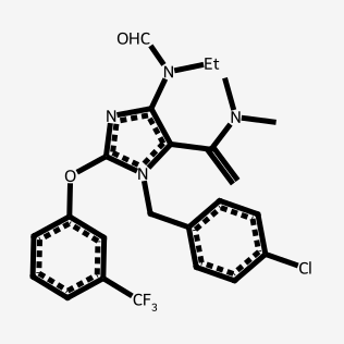 C=C(c1c(N(C=O)CC)nc(Oc2cccc(C(F)(F)F)c2)n1Cc1ccc(Cl)cc1)N(C)C